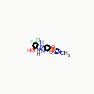 CN1CCN(S(=O)(=O)c2ccc3[nH]c(Nc4cc(Cl)c(F)cc4O)nc3c2)CC1